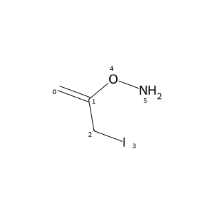 C=C(CI)ON